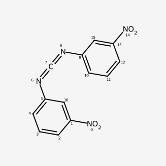 O=[N+]([O-])c1cccc(N=C=Nc2cccc([N+](=O)[O-])c2)c1